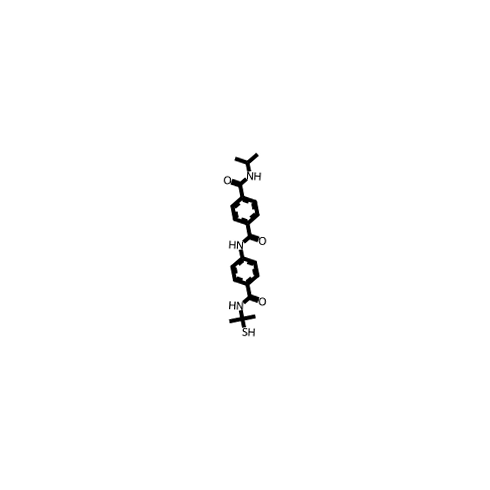 CC(C)NC(=O)c1ccc(C(=O)Nc2ccc(C(=O)NC(C)(C)S)cc2)cc1